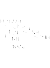 CN[C@H]1CCCC[C@H]1Nc1nc(Nc2ccc(N/C=C\C=N)cc2)c(C(N)=O)cc1F